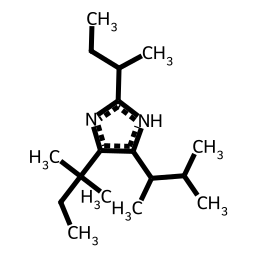 CCC(C)c1nc(C(C)(C)CC)c(C(C)C(C)C)[nH]1